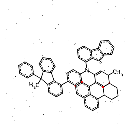 CC1C=C(N(c2ccc(-c3cccc4c3-c3ccccc3C4(C)c3ccccc3)cc2)c2cccc3c2sc2ccccc23)C(c2cccc3cccc(C4CCCCC4)c23)=CC1